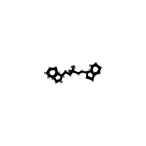 Cl[SiH](CCC1C=Cc2ccccc21)CCC1C=Cc2ccccc21